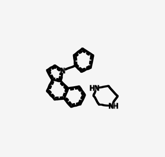 C1CNCCN1.c1ccc(-n2ccc3ccc4ccccc4c32)cc1